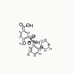 COc1ccc(C(=O)O)cc1S(=O)(=O)Nc1cc(C)ccc1N1CCCCC1